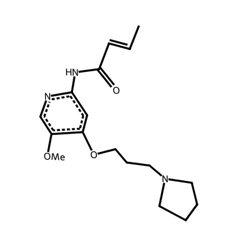 C/C=C/C(=O)Nc1cc(OCCCN2CCCC2)c(OC)cn1